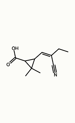 CCC(C#N)=CC1C(C(=O)O)C1(C)C